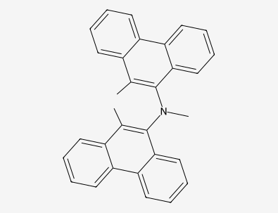 Cc1c(N(C)c2c(C)c3ccccc3c3ccccc23)c2ccccc2c2ccccc12